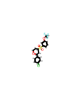 O=S(=O)(c1cccc(OC(F)(F)F)c1)C1CCOC(c2ccc(Cl)cc2)C1